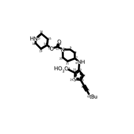 CC(C)(C)C#Cc1cc(NC2CCN(C(=O)OC3CCNCC3)CC2)c(C(=O)O)s1